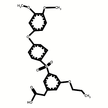 CCCOc1cc(CC(=O)O)cc(S(=O)(=O)c2ccc(Oc3ccc(OC)c(OC)c3)cc2)c1